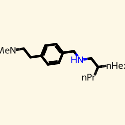 CCCCCCC(CCC)CNCc1ccc(CCNC)cc1